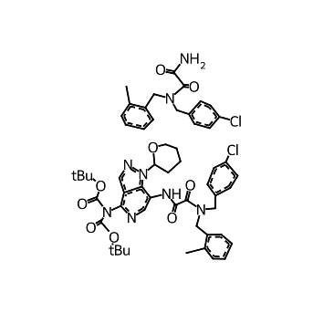 Cc1ccccc1CN(Cc1ccc(Cl)cc1)C(=O)C(=O)Nc1cnc(N(C(=O)OC(C)(C)C)C(=O)OC(C)(C)C)c2cnn(C3CCCCO3)c12.Cc1ccccc1CN(Cc1ccc(Cl)cc1)C(=O)C(N)=O